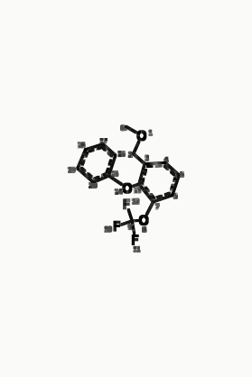 [CH2]OCc1cccc(OC(F)(F)F)c1Oc1ccccc1